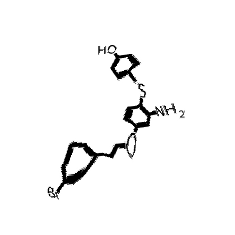 Nc1cc(OCCc2cccc(Br)c2)ccc1Sc1ccc(O)cc1